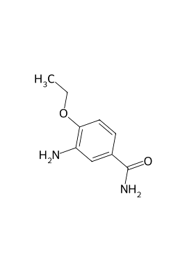 CCOc1ccc(C(N)=O)cc1N